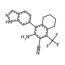 N#Cc1c(N)c(-c2ccc3cn[nH]c3c2)c2c(c1C(F)(F)F)CCCC2